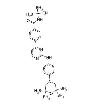 BC(B)(C#N)NC(=O)c1ccc(-c2ccnc(Nc3ccc(N4CC(B)(B)OC(B)(B)C4)cc3)n2)cc1